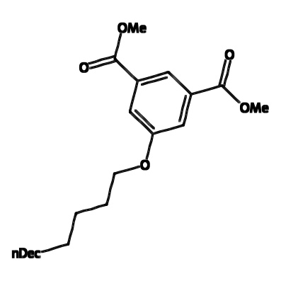 CCCCCCCCCCCCCCOc1cc(C(=O)OC)cc(C(=O)OC)c1